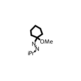 COC1(/N=N/C(C)C)CCCCC1